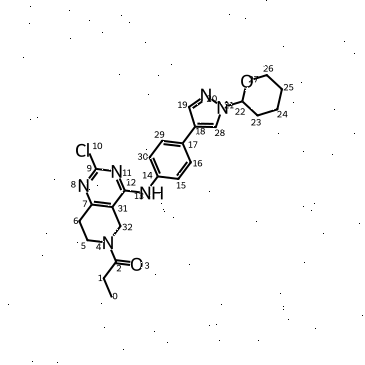 CCC(=O)N1CCc2nc(Cl)nc(Nc3ccc(-c4cnn(C5CCCCO5)c4)cc3)c2C1